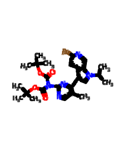 Cc1cnc(N(C(=O)OC(C)(C)C)C(=O)OC(C)(C)C)nc1-c1cn(C(C)C)c2cnc(Br)cc12